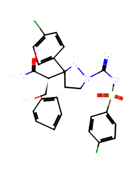 N=C(NS(=O)(=O)c1ccc(Cl)cc1)N1C[C@H](c2ccccc2)C(c2ccc(Cl)cc2)([C@@H](CO)C(N)=O)N1